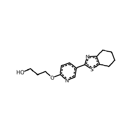 OCCCOc1ccc(-c2nc3c(s2)CCCC3)cn1